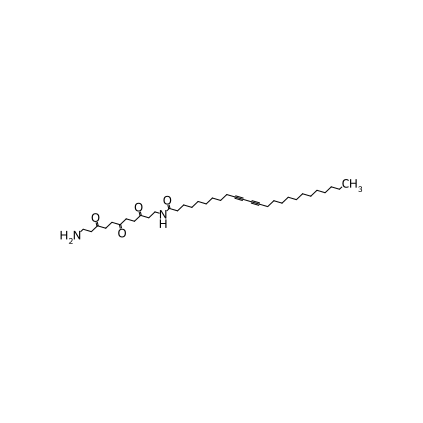 CCCCCCCCCCCCC#CC#CCCCCCCCCC(=O)NCCC(=O)CCC(=O)CCC(=O)CCN